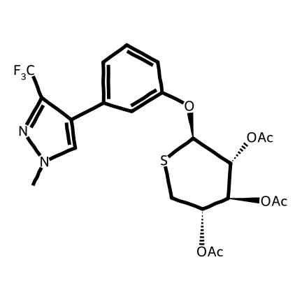 CC(=O)O[C@@H]1[C@@H](OC(C)=O)[C@H](OC(C)=O)CS[C@H]1Oc1cccc(-c2cn(C)nc2C(F)(F)F)c1